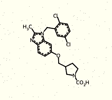 Cc1nc2ccc(OCC3CCN(C(=O)O)C3)cc2n1Cc1cc(Cl)ccc1Cl